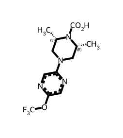 C[C@@H]1CN(c2cnc(OC(F)(F)F)cn2)C[C@H](C)N1C(=O)O